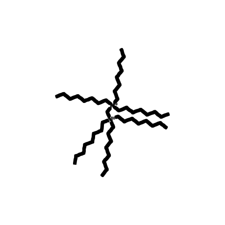 CCCCCCCC[N+](CCCCCCCC)(CCCCCCCC)C[N+](CCCCCCCC)(CCCCCCCC)CCCCCCCC